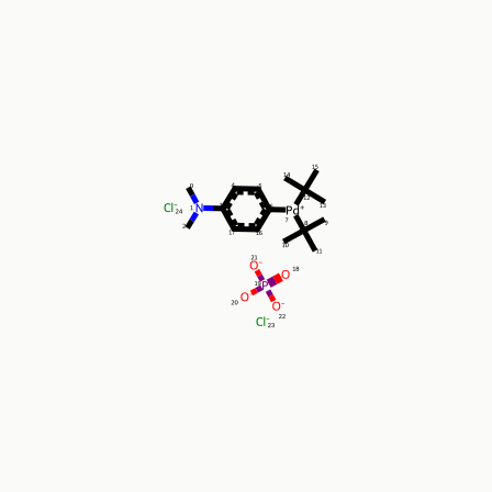 CN(C)c1cc[c]([Pd+]([C](C)(C)C)[C](C)(C)C)cc1.O=P([O-])([O-])[O-].[Cl-].[Cl-]